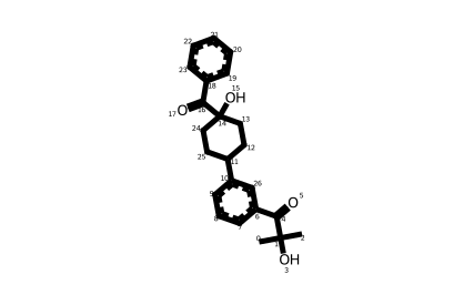 CC(C)(O)C(=O)c1cccc(C2CCC(O)(C(=O)c3ccccc3)CC2)c1